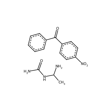 CC(N)NC(N)=O.O=C(c1ccccc1)c1ccc([N+](=O)[O-])cc1